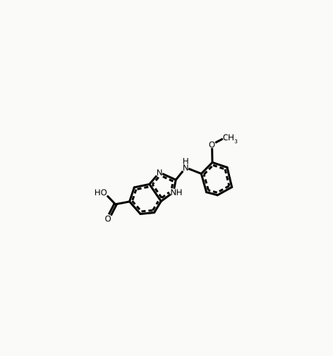 COc1ccccc1Nc1nc2cc(C(=O)O)ccc2[nH]1